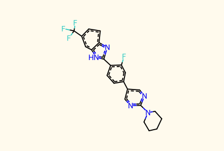 Fc1cc(-c2cnc(N3CCCCC3)nc2)ccc1-c1nc2ccc(C(F)(F)F)cc2[nH]1